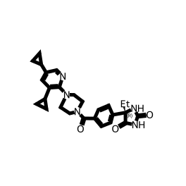 CC[C@]1(c2ccc(C(=O)N3CCN(c4ncc(C5CC5)cc4C4CC4)CC3)cc2)NC(=O)NC1=O